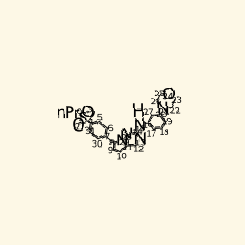 CCCS(=O)(=O)c1ccc(-c2ccc3cnc(Nc4cccc(N5CCOCC5)c4)nn23)cc1